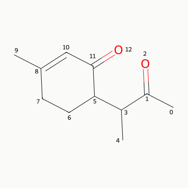 CC(=O)C(C)C1CCC(C)=CC1=O